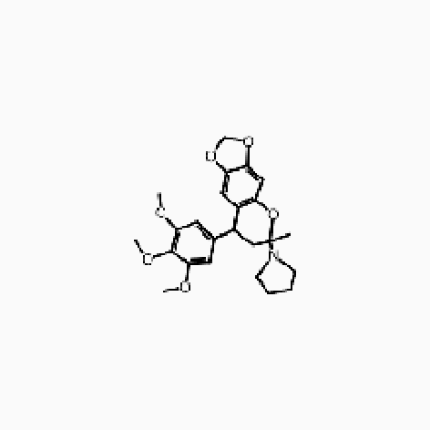 COc1cc(C2CC(C)(N3CCCC3)Oc3cc4c(cc32)OCO4)cc(OC)c1OC